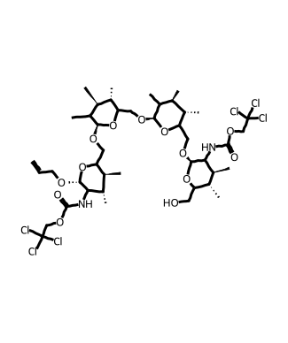 C=CCO[C@@H]1OC(CO[C@@H]2OC(CO[C@@H]3OC(CO[C@@H]4OC(CO)[C@@H](C)[C@H](C)C4NC(=O)OCC(Cl)(Cl)Cl)[C@@H](C)[C@H](C)C3C)[C@@H](C)[C@H](C)C2C)[C@@H](C)[C@H](C)C1NC(=O)OCC(Cl)(Cl)Cl